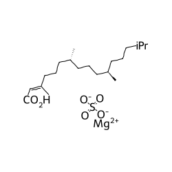 C/C(=C\C(=O)O)CCC[C@H](C)CCC[C@H](C)CCCC(C)C.O=S(=O)([O-])[O-].[Mg+2]